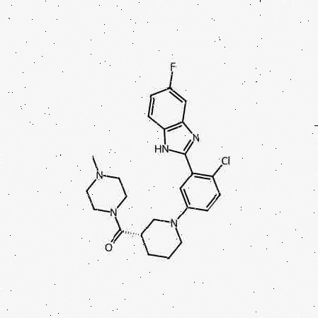 CN1CCN(C(=O)[C@H]2CCCN(c3ccc(Cl)c(-c4nc5cc(F)ccc5[nH]4)c3)C2)CC1